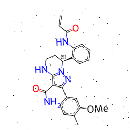 C=CC(=O)Nc1ccccc1[C@@H]1CCNc2c(C(N)=O)c(-c3ccc(C)c(OC)c3)nn21